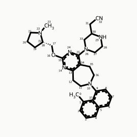 Cc1cccc2cccc(N3CCc4nc(OC[C@@H]5CCCN5C)nc(N5CCNC(CC#N)C5)c4CC3)c12